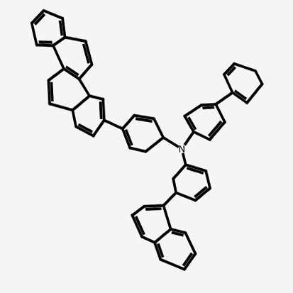 C1=CC(c2cccc3ccccc23)CC(N(c2ccc(C3=CCCC=C3)cc2)C2C=CC(C3=CC4c5ccc6ccccc6c5C=CC4C=C3)=CC2)=C1